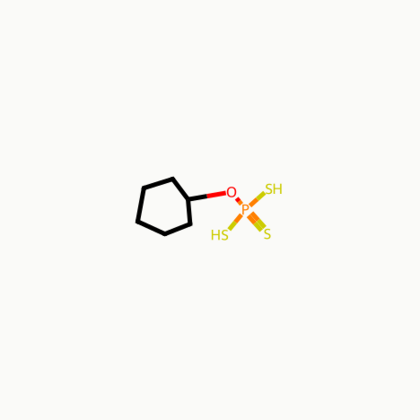 S=P(S)(S)OC1CCCCC1